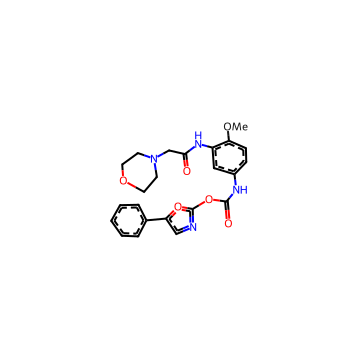 COc1ccc(NC(=O)Oc2ncc(-c3ccccc3)o2)cc1NC(=O)CN1CCOCC1